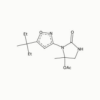 CCC(C)(CC)c1cc(N2C(=O)NCC2(C)OC(C)=O)no1